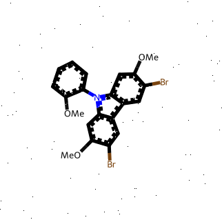 COc1cc2c(cc1Br)c1cc(Br)c(OC)cc1n2-c1ccccc1OC